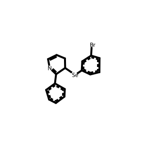 Brc1cccc([Se]C2CC=CN=C2c2ccccc2)c1